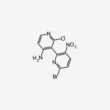 Nc1ccnc(Cl)c1-c1nc(Br)ccc1[N+](=O)[O-]